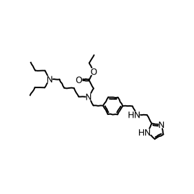 CCCN(CCC)CCCCN(CC(=O)OCC)Cc1ccc(CNCc2ncc[nH]2)cc1